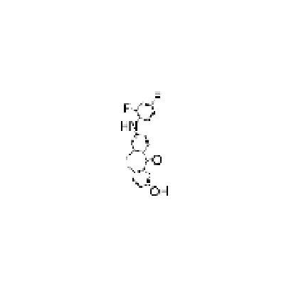 O=C1c2ccc(Nc3ccc(F)cc3F)cc2CCc2ccc(O)cc21